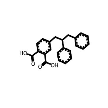 O=C(O)c1ccc(CC(Cc2ccccc2)c2ccccc2)cc1C(=O)O